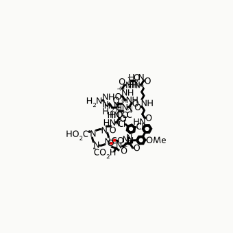 COc1cc2c(cc1-c1cccc(NC(=O)CCC(=O)NCCCC[C@@H](NC(=O)[C@@H](C)NC(=O)[C@@H](C)NC(=O)[C@@H](CC(N)=O)NC(=O)[C@@H](CC(=O)O)NC(=O)[C@@H](CCCNC(=N)N)NC(=O)[C@@H](C)NC(=O)CN3CCN(CC(=O)O)CCN(CC(=O)O)CCN(CC(=O)O)CC3)C(N)=O)c1)-c1c(c(C(=O)N3CCOCC3(C)C)nn1-c1cc(Cl)cc(Cl)c1)CO2